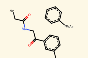 CC(=O)CC(=O)NCC(=O)c1cccc(NC(C)=O)c1.CC(=O)Nc1ccccc1